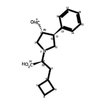 O=C[C@H]1CN([C@@H](CC2CCC2)C(=O)O)C[C@@H]1c1ccccc1